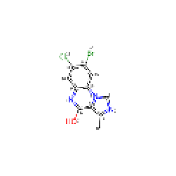 Cc1ncn2c1c(O)nc1cc(Cl)c(Br)cc12